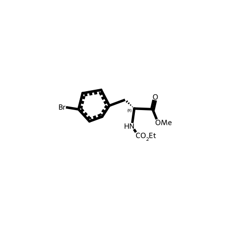 CCOC(=O)N[C@H](Cc1ccc(Br)cc1)C(=O)OC